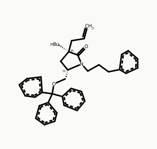 C=CC[C@]1(CCCC)C[C@@H](COC(c2ccccc2)(c2ccccc2)c2ccccc2)N(CCCc2ccccc2)C1=O